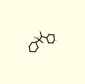 CCC(C)(C1CCCCC1)C(C)C1CCCCC1